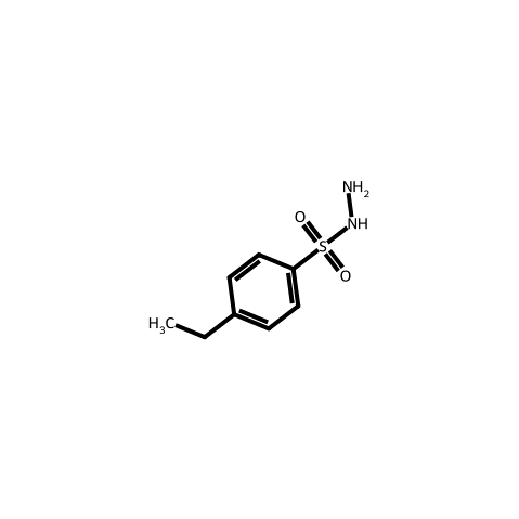 CCc1ccc(S(=O)(=O)NN)cc1